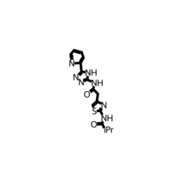 CC(C)C(=O)Nc1nc(CC(=O)Nc2nnc(-c3ccccn3)[nH]2)cs1